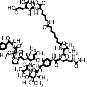 CC[C@H](C)[C@@H]([C@@H](CC(=O)N1CCC[C@H]1[C@H](OC)[C@@H](C)C(=O)N[C@H](C)[C@@H](O)c1ccccc1)OC)N(C)C(=O)[C@@H](NC(=O)[C@H](C(C)C)N(C)C(=O)OCc1ccc(NC(=O)[C@H](CCCNC(N)=O)NC(=O)[C@@H](NC(=O)CCCCCCC(=O)NCCCC[C@H](NC(=O)N[C@@H](CCC(=O)O)C(=O)O)C(=O)O)C(C)C)cc1)C(C)C